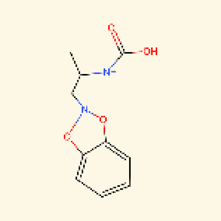 CC(CN1Oc2ccccc2O1)NC(=O)O